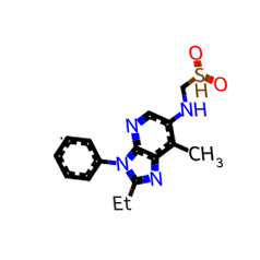 CCc1nc2c(C)c(NC[SH](=O)=O)cnc2n1-c1c[c]ccc1